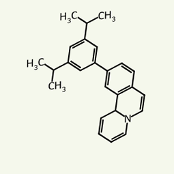 CC(C)c1cc(-c2ccc3c(c2)C2C=CC=CN2C=C3)cc(C(C)C)c1